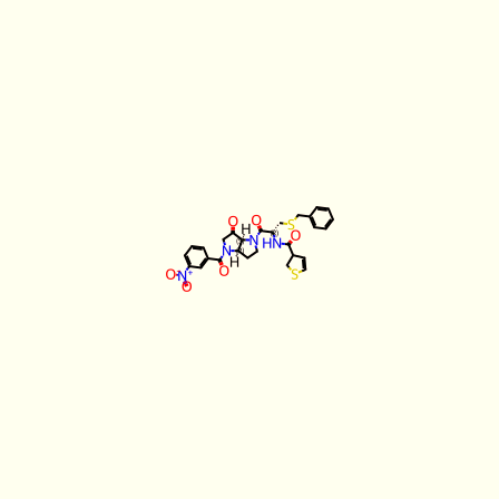 O=C(N[C@@H](CSCc1ccccc1)C(=O)N1CC[C@@H]2[C@H]1C(=O)CN2C(=O)c1cccc([N+](=O)[O-])c1)C1C=CSC1